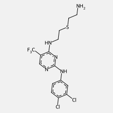 NCCSCCNc1nc(Nc2ccc(Cl)c(Cl)c2)ncc1C(F)(F)F